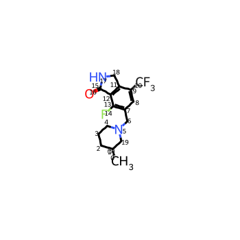 C[C@H]1CCCN(Cc2cc(C(F)(F)F)c3c(c2F)C(=O)NC3)C1